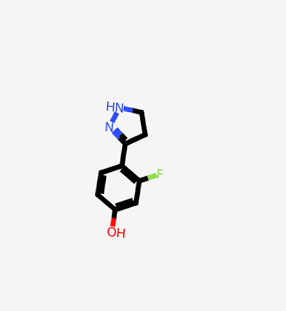 Oc1ccc(C2=NNCC2)c(F)c1